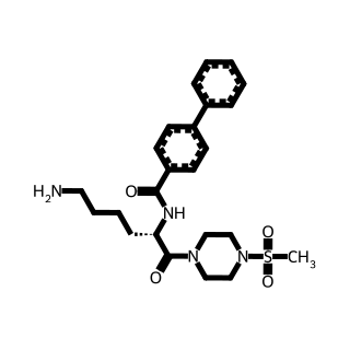 CS(=O)(=O)N1CCN(C(=O)[C@H](CCCCN)NC(=O)c2ccc(-c3ccccc3)cc2)CC1